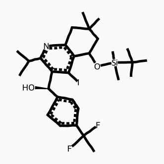 CC(C)c1nc2c(c(I)c1[C@H](O)c1ccc(C(C)(F)F)cc1)C(O[Si](C)(C)C(C)(C)C)CC(C)(C)C2